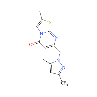 Cc1cn2c(=O)cc(Cn3nc(C(F)(F)F)cc3C)nc2s1